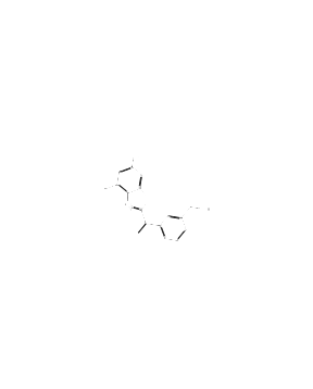 C=C(c1cccc(CO)c1)c1nc2c(Cl)cc(Cl)cc2s1